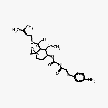 COC1C(OC(=O)NC(=O)CSc2ccc(N)cc2)CC[C@]2(CO2)C1[C@H](C)OCC=C(C)C